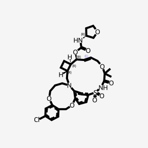 CC1(C)OC/C=C/[C@H](OC(=O)N[C@@H]2CCOC2)[C@@H]2CC[C@H]2CN2CCCOc3cc(Cl)ccc3COc3ccc(cc32)S(=O)(=O)NC1=O